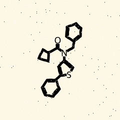 O=C(C1CCC1)N(Cc1ccccc1)c1csc(-c2ccccc2)c1